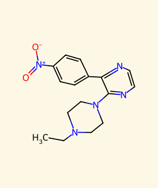 CCN1CCN(c2nccnc2-c2ccc([N+](=O)[O-])cc2)CC1